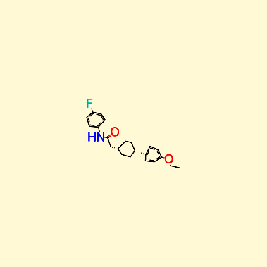 CCOc1ccc([C@H]2CC[C@@H](CC(=O)Nc3ccc(F)cc3)CC2)cc1